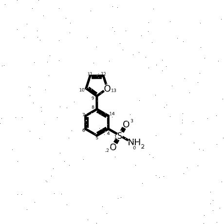 NS(=O)(=O)c1cccc(-c2ccco2)c1